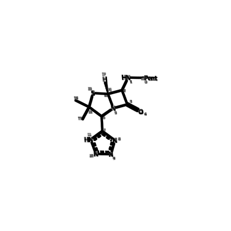 CCCCCNC1C(=O)N2C(c3nnn[nH]3)C(C)(C)S[C@H]12